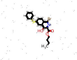 CCCCOC(=O)c1nc(Br)c2ccc(Sc3ccccc3)cc2c1O